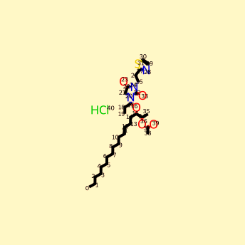 CCCCCCCCCCCCCCCC(OC(CC)N1CC(=O)N(CCc2nccs2)C1=O)C(C)OC(C)=O.Cl